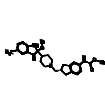 CCOC1(C2CCN(C[C@H]3Cc4ccc(NC(=O)OC(C)(C)C)cc4C3)CC2)Nc2ccc(C)cc2N1